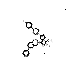 CC(C)[C@]1(C(=O)N2CCc3ccc(-c4ccccc4)cc3C2)CC[C@@H](N2CCC(c3ccc(F)cc3)CC2)C1